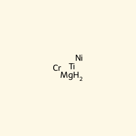 [Cr].[MgH2].[Ni].[Ti]